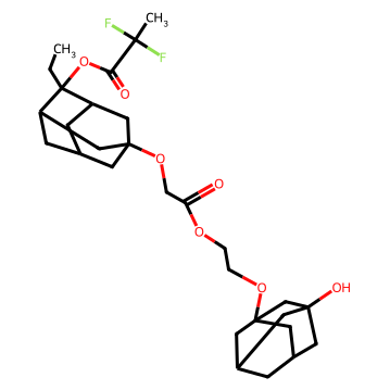 CCC1(OC(=O)C(C)(F)F)C2CC3CC1CC(OCC(=O)OCCOC14CC5CC(CC(O)(C5)C1)C4)(C3)C2